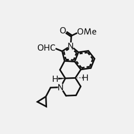 COC(=O)n1c(C=O)c2c3c(cccc31)[C@H]1CCCN(CC3CC3)[C@@H]1C2